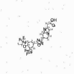 CC(Oc1ccc(-c2nc(-c3ccn4cc(CC(=O)O)nc4c3)no2)cc1C(F)(F)F)C(F)(F)F